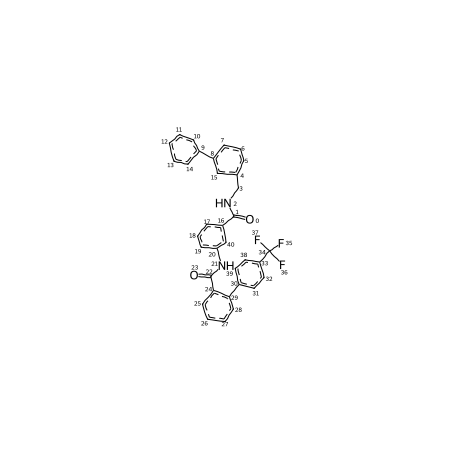 O=C(NCc1cccc(-c2ccccc2)c1)c1cccc(NC(=O)c2ccccc2-c2ccc(C(F)(F)F)cc2)c1